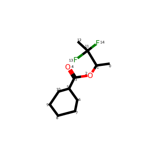 CC(OC(=O)C1CCCCC1)C(C)(F)F